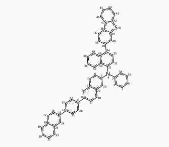 c1ccc(N(c2ccc3cc(-c4ccc(-c5ccc6ccccc6c5)cc4)ccc3c2)c2ccc(-c3ccc4c(c3)sc3ccccc34)c3ccccc23)cc1